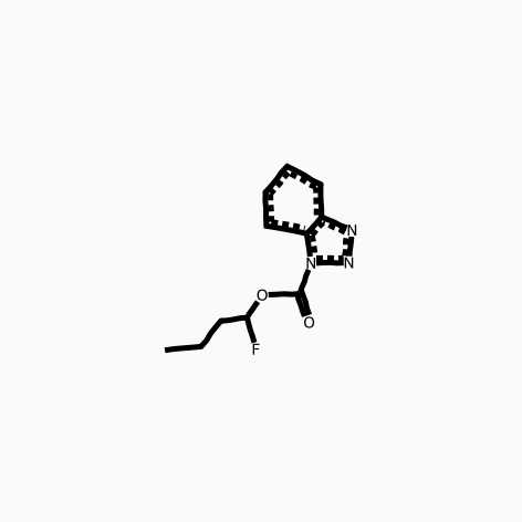 CCCC(F)OC(=O)n1nnc2ccccc21